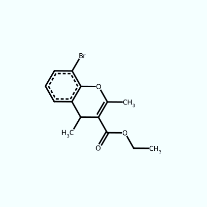 CCOC(=O)C1=C(C)Oc2c(Br)cccc2C1C